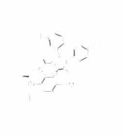 COC1=CC(C)C2=C3N(CC(=O)N2)C(=O)N2C(=NC(c4ccc(C(F)(F)F)cc4)C2c2cccc(Cl)c2)C13C